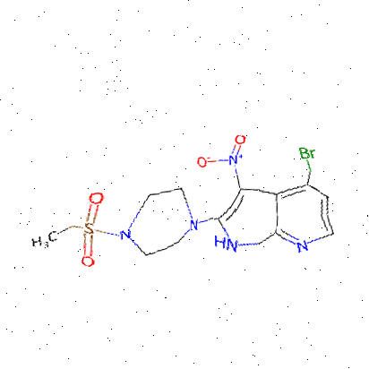 CS(=O)(=O)N1CCN(c2[nH]c3nccc(Br)c3c2[N+](=O)[O-])CC1